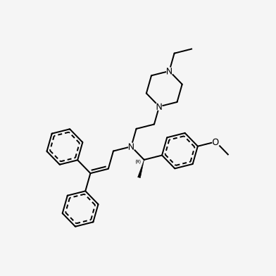 CCN1CCN(CCN(CC=C(c2ccccc2)c2ccccc2)[C@H](C)c2ccc(OC)cc2)CC1